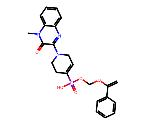 C=C(OCOP(=O)(O)C1=CCN(c2nc3ccccc3n(C)c2=O)CC1)c1ccccc1